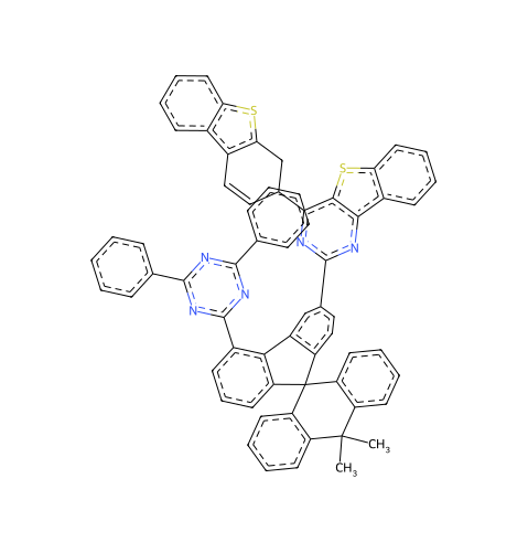 CC1(C)c2ccccc2C2(c3ccc(-c4nc(C5C=Cc6c(sc7ccccc67)C5)c5sc6ccccc6c5n4)cc3-c3c(-c4nc(-c5ccccc5)nc(-c5ccccc5)n4)cccc32)c2ccccc21